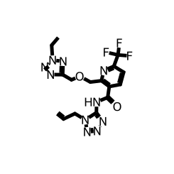 C=CCn1nnnc1NC(=O)c1ccc(C(F)(F)F)nc1COCc1nnn(CC)n1